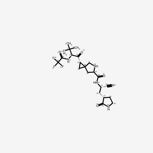 CC(C)(C)[C@H](NC(=O)C(F)(F)F)C(=O)[C@H]1CC12CNC(C(=O)N[C@H](C#N)C[C@@H]1CCNC1=O)C2